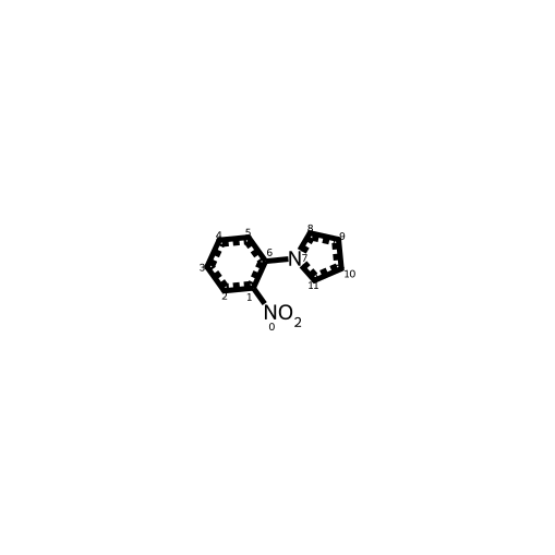 O=[N+]([O-])c1ccccc1-n1cccc1